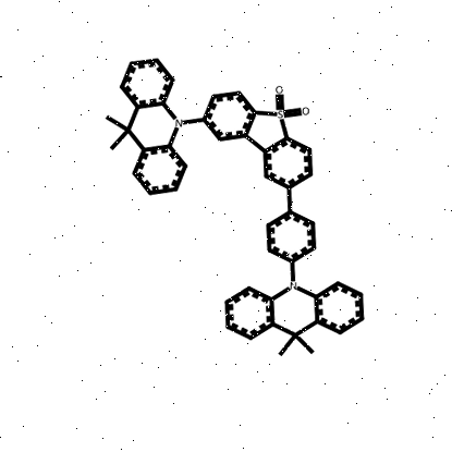 CC1(C)c2ccccc2N(c2ccc(-c3ccc4c(c3)-c3cc(N5c6ccccc6C(C)(C)c6ccccc65)ccc3S4(=O)=O)cc2)c2ccccc21